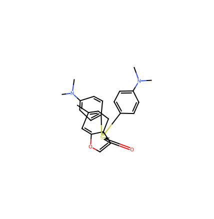 CC1=CCC23C(=C1)OC=C2C(=O)CS3(c1ccc(N(C)C)cc1)c1ccc(N(C)C)cc1